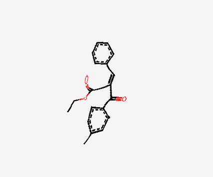 CCOC(=O)C(=Cc1ccccc1)C(=O)c1ccc(C)cc1